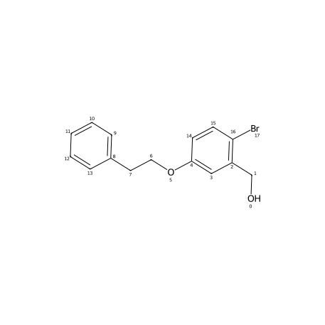 OCc1cc(OCCc2ccccc2)ccc1Br